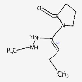 CC/C=C(\NNC)N1CCCC1=O